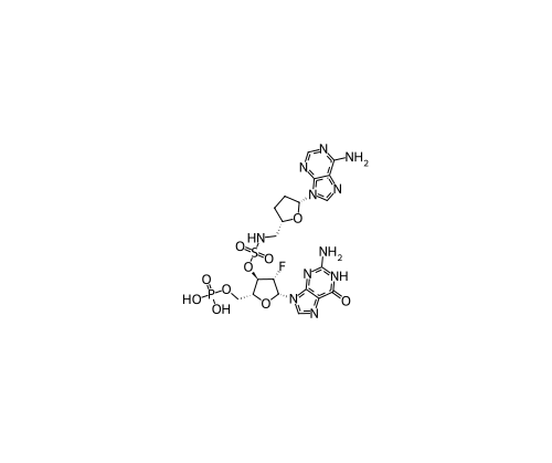 Nc1nc2c(ncn2[C@@H]2O[C@H](COP(=O)(O)O)[C@@H](OS(=O)(=O)NC[C@@H]3CC[C@H](n4cnc5c(N)ncnc54)O3)[C@@H]2F)c(=O)[nH]1